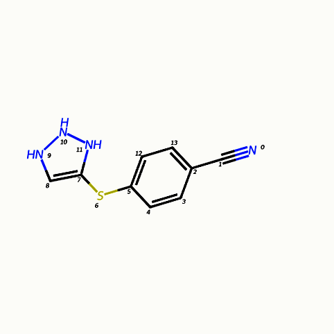 N#Cc1ccc(SC2=CNNN2)cc1